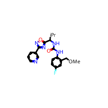 COCc1cc(F)ccc1NC(=O)NC(c1nc(-c2cccnc2)no1)C(C)C